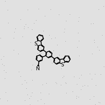 N#Cc1cccc(-c2cc(-c3ccc4sc5ccccc5c4c3)ccc2-c2ccc3sc4ccccc4c3c2)c1